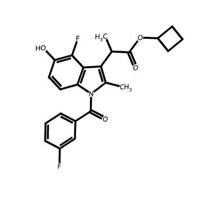 Cc1c(C(C)C(=O)OC2CCC2)c2c(F)c(O)ccc2n1C(=O)c1cccc(F)c1